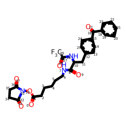 O=C(CCCCCNC(=O)C(Cc1ccc(C(=O)c2ccccc2)cc1)NC(=O)C(F)(F)F)ON1C(=O)CCC1=O